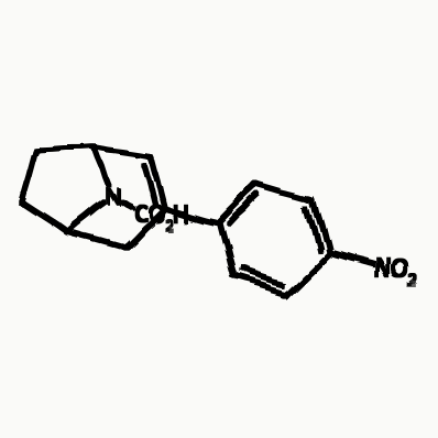 O=C(O)N1C2C=C(c3ccc([N+](=O)[O-])cc3)CC1CC2